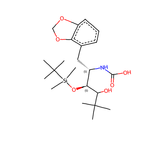 CC(C)(C)C(O)[C@@H](O[Si](C)(C)C(C)(C)C)[C@H](Cc1cccc2c1OCO2)NC(=O)O